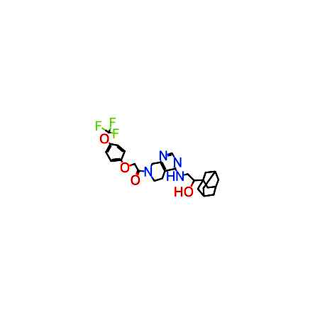 O=C(COc1ccc(OC(F)(F)F)cc1)N1CCc2c(ncnc2NCC(O)C23CC4CC(CC(C4)C2)C3)C1